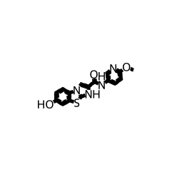 COc1ccc(NC(=O)C2=CN3c4ccc(O)cc4SC3N2)cn1